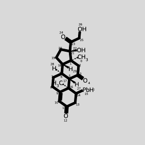 C[C@]12CC(=O)[C@H]3[C@@H](CCC4=CC(=O)C[CH]([PbH])[C@@]43C)[C@@H]1CC[C@]2(O)C(=O)CO